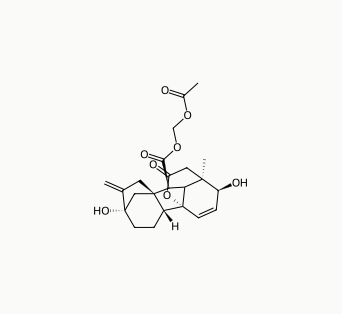 C=C1C[C@]23C[C@@]1(O)CC[C@H]2[C@@]12C=C[C@H](O)[C@](C)(CC(=O)O1)C2[C@@H]3C(=O)OCOC(C)=O